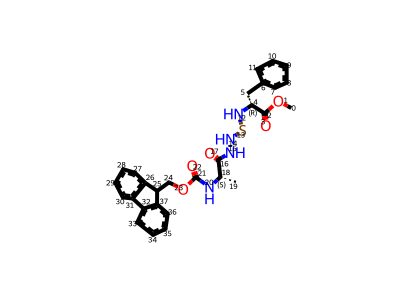 COC(=O)[C@@H](Cc1ccccc1)NSNNC(=O)[C@H](C)NC(=O)OCC1c2ccccc2-c2ccccc21